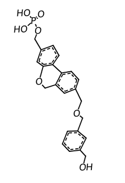 O=P(O)(O)OCc1ccc2c(c1)OCc1cc(COCc3cccc(CO)c3)ccc1-2